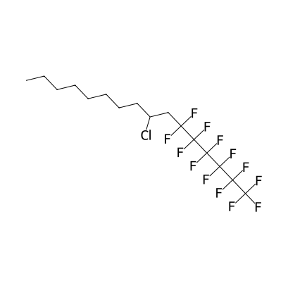 CCCCCCCCC(Cl)CC(F)(F)C(F)(F)C(F)(F)C(F)(F)C(F)(F)C(F)(F)F